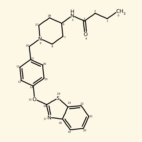 CCCC(=O)NC1CCN(Cc2ccc(Oc3nc4ccccc4s3)cc2)CC1